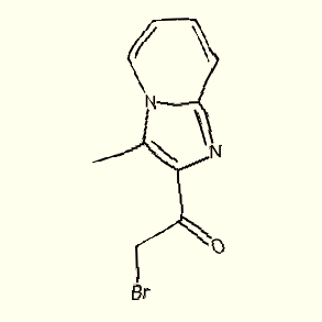 Cc1c(C(=O)CBr)nc2ccccn12